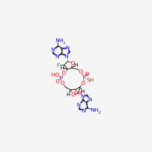 Nc1ncnc2c1ncn2[C@@H]1O[C@@H]2CO[P@](=O)(S)O[C@H]3C(O)[C@@H](COP(=O)(O)O[C@@H]2C1F)O[C@H]3n1cnc2c(N)ncnc21